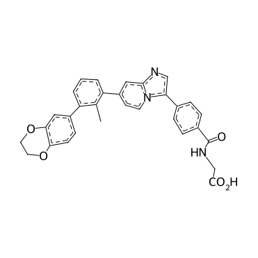 Cc1c(-c2ccc3c(c2)OCCO3)cccc1-c1ccn2c(-c3ccc(C(=O)NCC(=O)O)cc3)cnc2c1